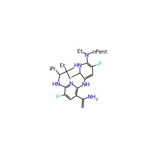 C=C(N)c1cc(F)c(NC(C(C)C)C(C)(C)CC)nc1NC1=CC(F)=C(N(CC)CCCCC)NC1C